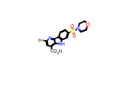 O=C(O)c1cc(Br)nc2c1[nH]c1cc(S(=O)(=O)N3CCOCC3)ccc12